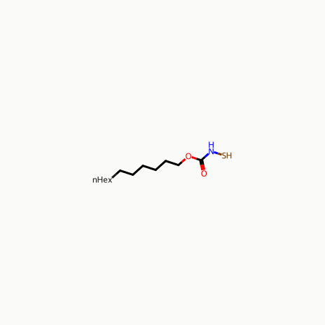 CCCCCCCCCCCCOC(=O)NS